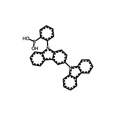 OB(O)c1ccccc1-n1c2ccccc2c2cc(-n3c4ccccc4c4ccccc43)ccc21